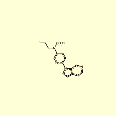 O=C(O)N(CCF)c1ccc(-n2ccc3ccncc32)nc1